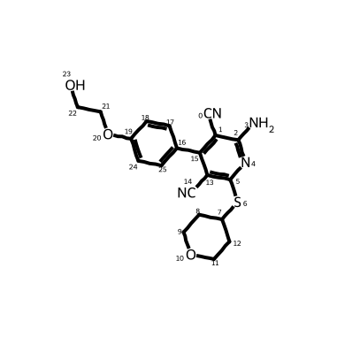 N#Cc1c(N)nc(SC2CCOCC2)c(C#N)c1-c1ccc(OCCO)cc1